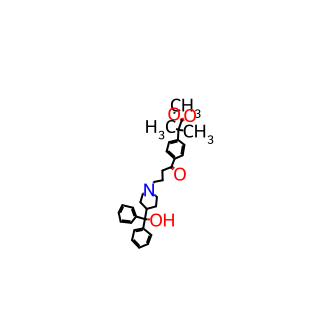 COC(=O)C(C)(C)c1ccc(C(=O)CCCN2CCC(C(O)(c3ccccc3)c3ccccc3)CC2)cc1